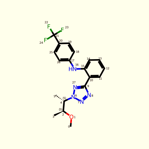 CO[C@@H](C)[C@H](C)n1nnc(-c2ccccc2Nc2ccc(C(F)(F)F)cc2)n1